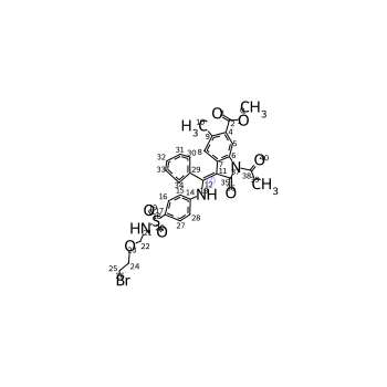 COC(=O)c1cc2c(cc1C)/C(=C(/Nc1ccc(S(=O)(=O)NCOCCBr)cc1)c1ccccc1)C(=O)N2C(C)=O